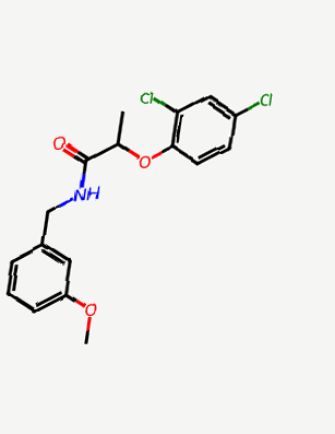 COc1cccc(CNC(=O)C(C)Oc2ccc(Cl)cc2Cl)c1